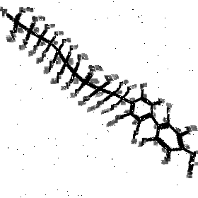 Fc1c(F)c(-c2c(F)c(F)c(C(F)(F)C(F)(F)C(F)(F)C(F)(F)C(F)(F)C(F)(F)C(F)(F)C(F)(F)C(F)(F)C(F)(F)C(F)(F)F)c(F)c2F)c(F)c(F)c1N=C=S